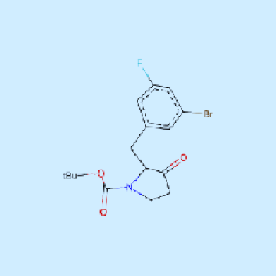 CC(C)(C)OC(=O)N1CCC(=O)C1Cc1cc(F)cc(Br)c1